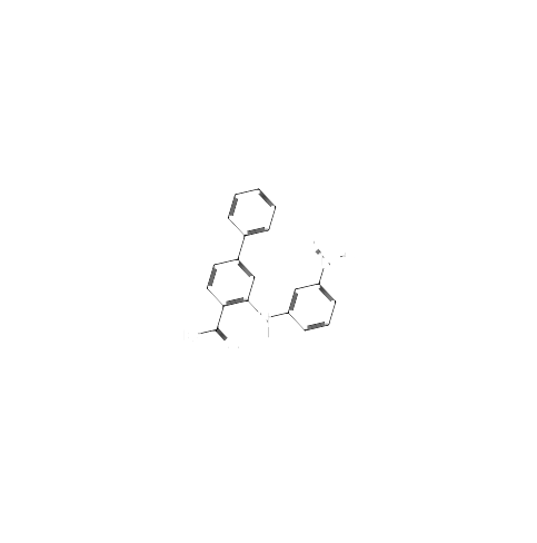 O=C(O)c1ccc(-c2ccccc2)cc1Nc1cccc([N+](=O)[O-])c1